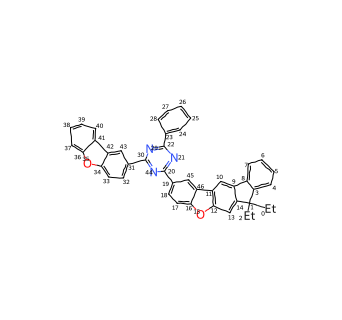 CCC1(CC)c2ccccc2-c2cc3c(cc21)oc1ccc(-c2nc(-c4ccccc4)nc(-c4ccc5oc6ccccc6c5c4)n2)cc13